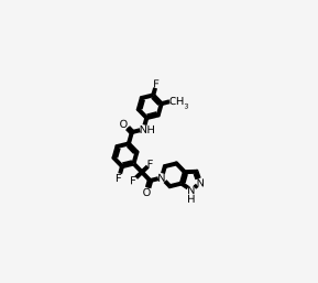 Cc1cc(NC(=O)c2ccc(F)c(C(F)(F)C(=O)N3CCc4cn[nH]c4C3)c2)ccc1F